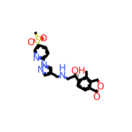 Cc1c([C@@H](O)CNCc2cnn(-c3ccc(S(C)(=O)=O)cn3)c2)ccc2c1COC2=O